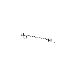 CCC(CC)CCCCCCCCCCCCCCCCCN